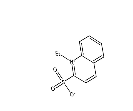 CC[n+]1c(S(=O)(=O)[O-])ccc2ccccc21